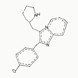 Clc1ccc(-c2nc3ccccn3c2CC2CCCN2)cc1